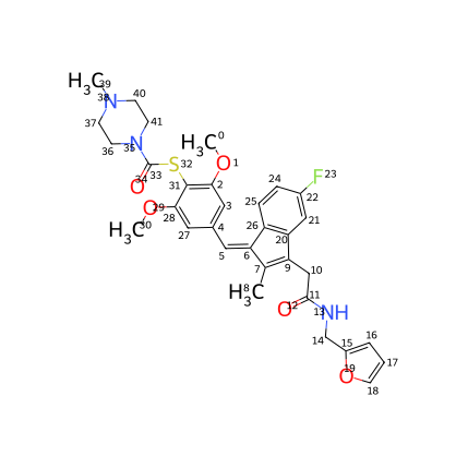 COc1cc(/C=C2/C(C)=C(CC(=O)NCc3ccco3)c3cc(F)ccc32)cc(OC)c1SC(=O)N1CCN(C)CC1